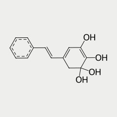 OC1=C(O)C(O)(O)CC(C=Cc2ccccc2)=C1